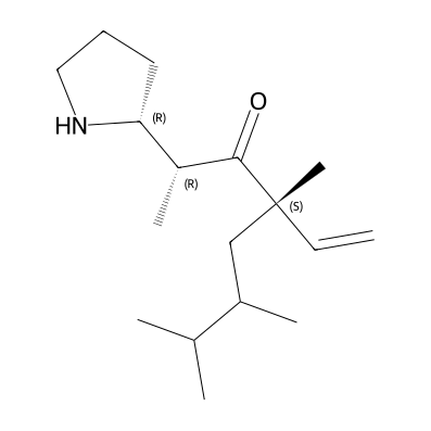 C=C[C@](C)(CC(C)C(C)C)C(=O)[C@H](C)[C@H]1CCCN1